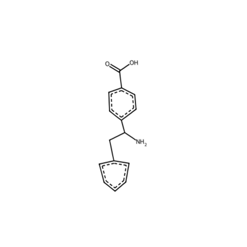 NC(Cc1ccccc1)c1ccc(C(=O)O)cc1